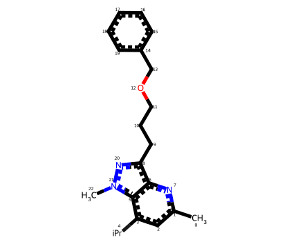 Cc1cc(C(C)C)c2c(n1)c(CCCOCc1ccccc1)nn2C